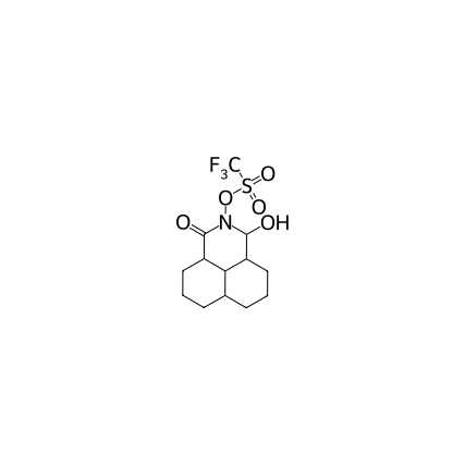 O=C1C2CCCC3CCCC(C32)C(O)N1OS(=O)(=O)C(F)(F)F